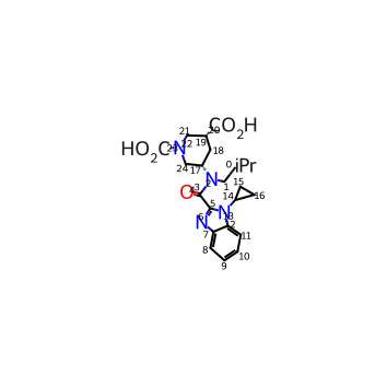 CC(C)CN(C(=O)c1nc2ccccc2n1C1CC1)[C@H]1C[C@@H](C(=O)O)CN(C(=O)O)C1